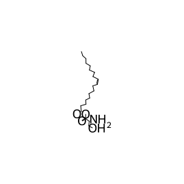 CCCCCCCC/C=C\CCCCCCCC(=O)OC(=O)C(N)CO